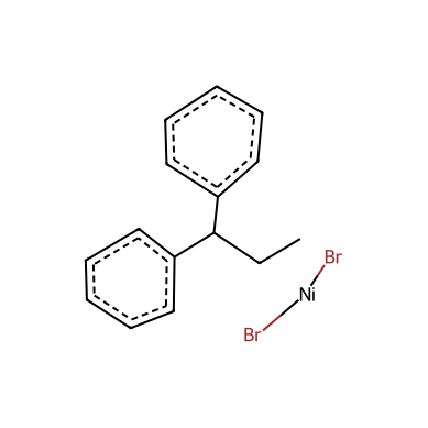 CCC(c1ccccc1)c1ccccc1.[Br][Ni][Br]